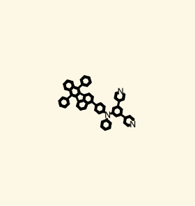 c1ccc(-c2c3c(c(-c4ccccc4)c4ccccc24)-c2ccc(-c4ccc(N(c5ccccc5)c5cc(-c6ccncc6)cc(-c6ccncc6)c5)cc4)c4cccc-3c24)cc1